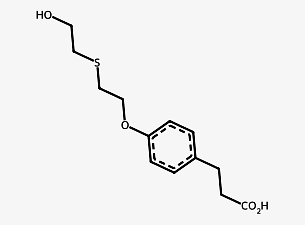 O=C(O)CCc1ccc(OCCSCCO)cc1